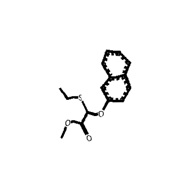 CCSC(Oc1ccc2ccccc2c1)C(=O)OC